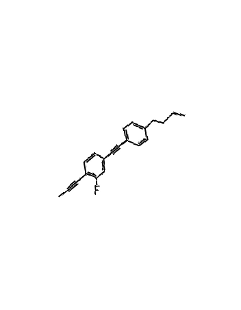 CC#Cc1ccc(C#Cc2ccc(CCCC)cc2)cc1F